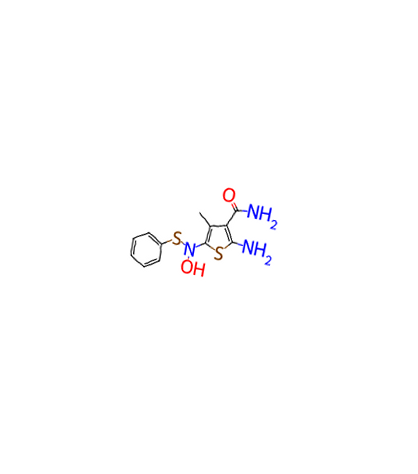 Cc1c(N(O)Sc2ccccc2)sc(N)c1C(N)=O